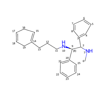 CNC(c1ccccc1)[C@H](NCCCC1=CCC=CC1)c1ccccc1